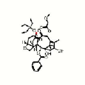 CC[Si](CC)(CC)O[C@H]1C[C@H]2OC[C@@]2(OC(C)=O)[C@H]2[C@H](OC(=O)c3ccccc3)[C@]3(O)C[C@H](O)C(C)=C([C@@H](OC(=O)COC)C(=O)[C@]12C)C3(C)C